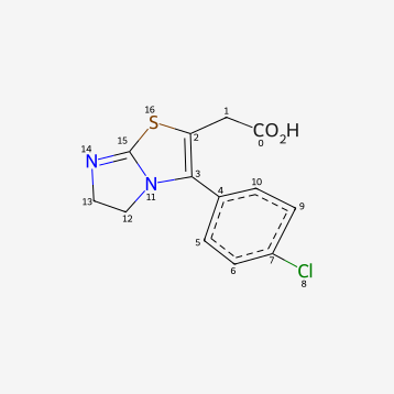 O=C(O)CC1=C(c2ccc(Cl)cc2)N2CCN=C2S1